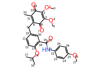 COC1=C(OC)C(=O)C(Cc2ccc(OC(C)C)c(C(=O)Nc3ccc(OC)cc3)c2)=C(C)C1=O